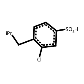 CC(C)Cc1ccc(S(=O)(=O)O)cc1Cl